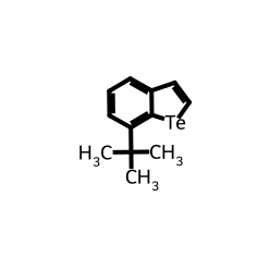 CC(C)(C)c1cccc2cc[te]c12